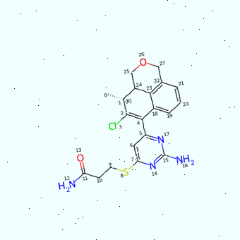 C[C@H]1C(Cl)=C(c2cc(SCCC(N)=O)nc(N)n2)c2cccc3c2C1COC3